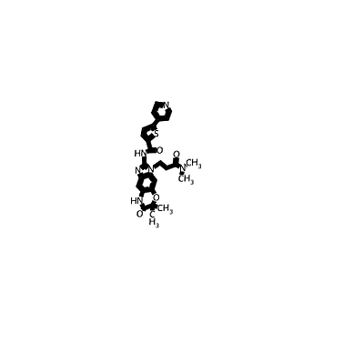 CN(C)C(=O)CCn1c(NC(=O)c2ccc(-c3ccncc3)s2)nc2cc3c(cc21)OC(C)(C)C(=O)N3